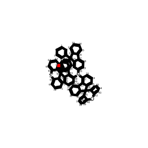 c1ccc(C2(c3ccccc3)c3ccccc3-c3ccc(N(c4cccc5c4-c4ccccc4C54c5ccccc5Oc5ccccc54)c4cccc5c4-c4ccccc4C54c5ccccc5Sc5ccccc54)cc32)cc1